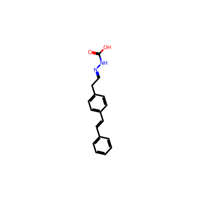 O=C(O)NN=CCc1ccc(C=Cc2ccccc2)cc1